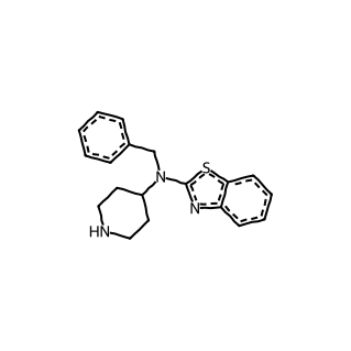 c1ccc(CN(c2nc3ccccc3s2)C2CCNCC2)cc1